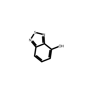 Oc1cccc2nsnc12